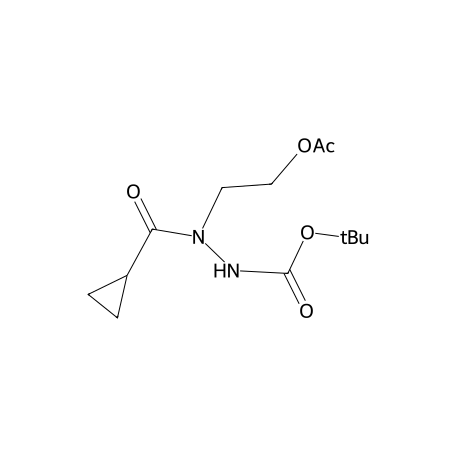 CC(=O)OCCN(NC(=O)OC(C)(C)C)C(=O)C1CC1